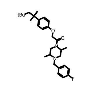 CC1CN(C(=O)COc2ccc(C(C)(C)CC(C)(C)C)cc2)C(C)CN1Cc1ccc(F)cc1